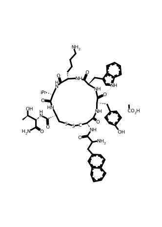 CC(=O)O.CC(C)[C@@H]1NC(=O)[C@H](CCCCN)NC(=O)[C@@H](Cc2c[nH]c3ccccc23)NC(=O)[C@H](Cc2ccc(O)cc2)NC(=O)[C@H](NC(=O)C(N)Cc2ccc3ccccc3c2)CSSC[C@H](C(=O)N[C@H](C(N)=O)[C@@H](C)O)NC1=O